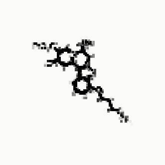 CCOC(=O)c1cn2c(cc1=O)-c1c3cccc(OCCCOC(F)(F)F)c3nn1CC2C(C)(C)C